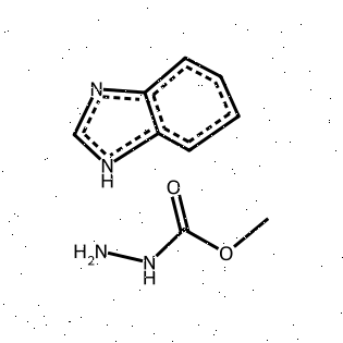 COC(=O)NN.c1ccc2[nH]cnc2c1